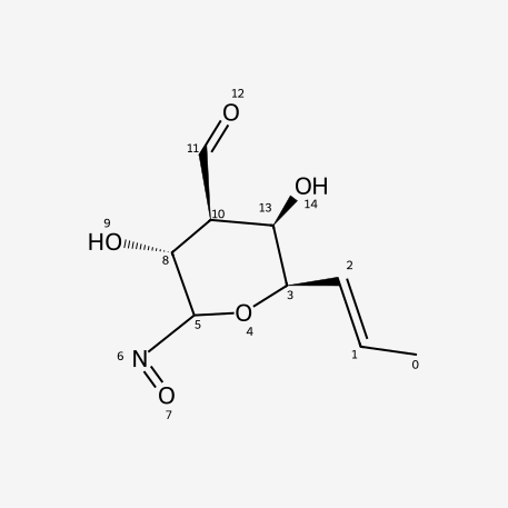 CC=C[C@H]1OC(N=O)[C@H](O)[C@@H](C=O)[C@H]1O